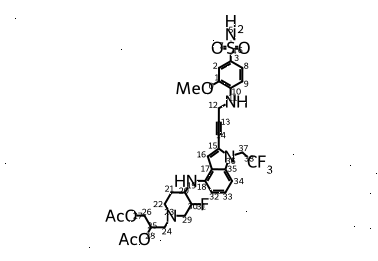 COc1cc(S(N)(=O)=O)ccc1NCC#Cc1cc2c(NC3CCN(CC(COC(C)=O)OC(C)=O)CC3F)cccc2n1CC(F)(F)F